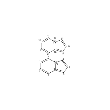 c1ccn2cccc2c1.c1ccn2cccc2c1